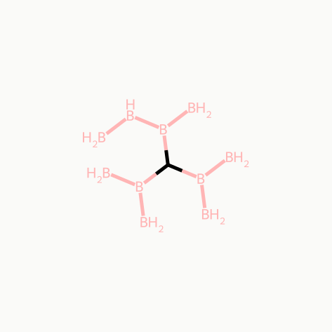 BBB(B)C(B(B)B)B(B)B